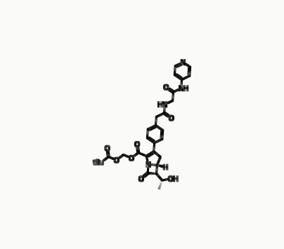 C[C@@H](O)[C@H]1C(=O)N2C(C(=O)OCOC(=O)C(C)(C)C)=C(c3ccc(CC(=O)NCC(=O)Nc4ccncc4)cc3)C[C@H]12